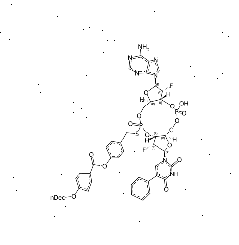 CCCCCCCCCCOc1ccc(C(=O)Oc2ccc(CSP3(=O)OC[C@H]4O[C@@H](n5cnc6c(N)ncnc65)[C@H](F)[C@@H]4OP(=O)(O)OC[C@H]4O[C@@H](n5cc(-c6ccccc6)c(=O)[nH]c5=O)[C@H](F)[C@@H]4O3)cc2)cc1